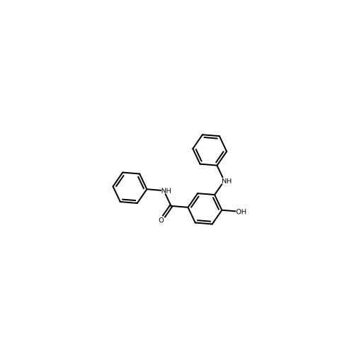 O=C(Nc1ccccc1)c1ccc(O)c(Nc2ccccc2)c1